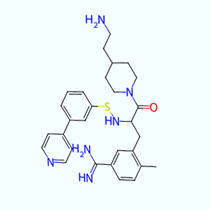 Cc1ccc(C(=N)N)cc1CC(NSc1cccc(-c2ccncc2)c1)C(=O)N1CCC(CCN)CC1